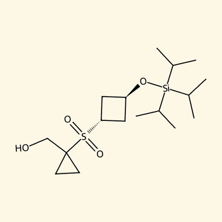 CC(C)[Si](O[C@H]1C[C@H](S(=O)(=O)C2(CO)CC2)C1)(C(C)C)C(C)C